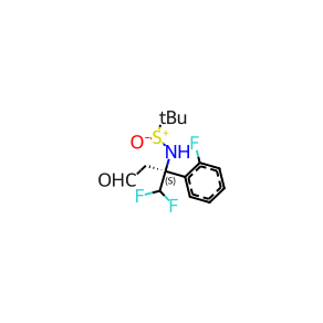 CC(C)(C)[S+]([O-])N[C@@](CC=O)(c1ccccc1F)C(F)F